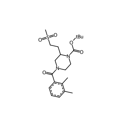 Cc1cccc(C(=O)N2CCN(C(=O)OC(C)(C)C)C(CCS(C)(=O)=O)C2)c1C